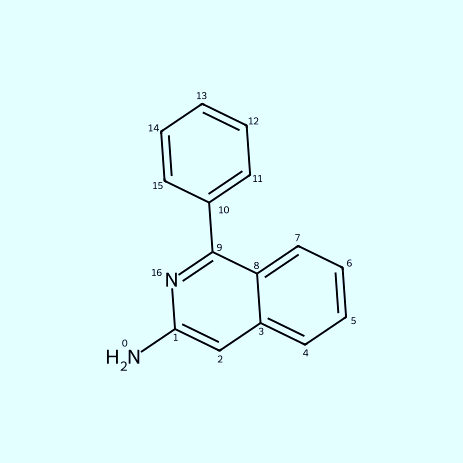 Nc1cc2ccccc2c(-c2ccccc2)n1